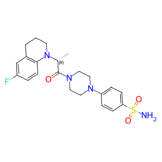 C[C@H](C(=O)N1CCN(c2ccc(S(N)(=O)=O)cc2)CC1)N1CCCc2cc(F)ccc21